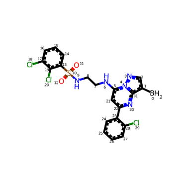 Bc1cnn2c(NCCNS(=O)(=O)c3cccc(Cl)c3Cl)cc(-c3ccccc3Cl)nc12